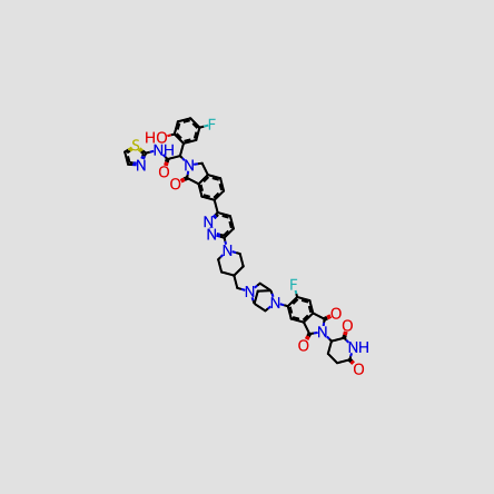 O=C1CCC(N2C(=O)c3cc(F)c(N4CC5CC4CN5CC4CCN(c5ccc(-c6ccc7c(c6)C(=O)N(C(C(=O)Nc6nccs6)c6cc(F)ccc6O)C7)nn5)CC4)cc3C2=O)C(=O)N1